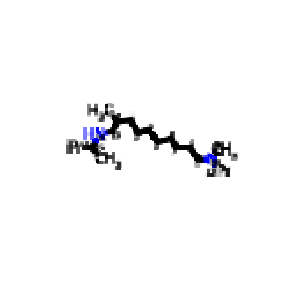 CC(CCCCCCCCN(C)C(C)C)CNC(C)C(C)C